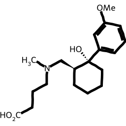 COc1cccc([C@@]2(O)CCCC[C@H]2CN(C)CCCC(=O)O)c1